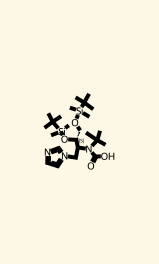 CC(C)(C)N(C(=O)O)C(Cn1ccnc1)[C@@H](CO[Si](C)(C)C(C)(C)C)O[Si](C)(C)C(C)(C)C